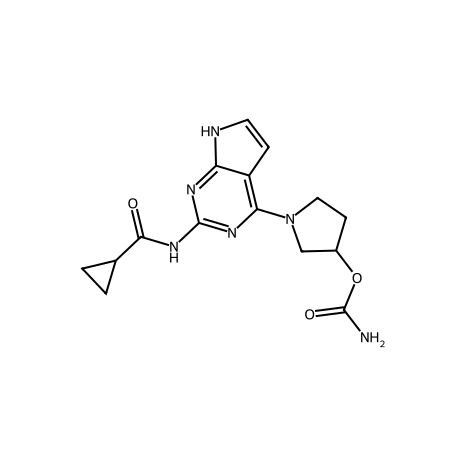 NC(=O)OC1CCN(c2nc(NC(=O)C3CC3)nc3[nH]ccc23)C1